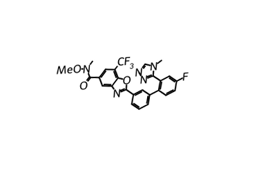 CON(C)C(=O)c1cc(C(F)(F)F)c2oc(-c3cccc(-c4ccc(F)cc4-c4nncn4C)c3)nc2c1